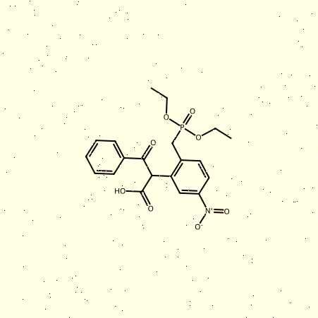 CCOP(=O)(Cc1ccc([N+](=O)[O-])cc1C(C(=O)O)C(=O)c1ccccc1)OCC